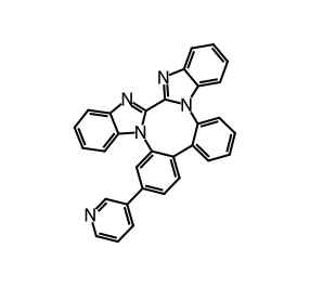 c1cncc(-c2ccc3c4ccccc4n4c5ccccc5nc4c4nc5ccccc5n4c3c2)c1